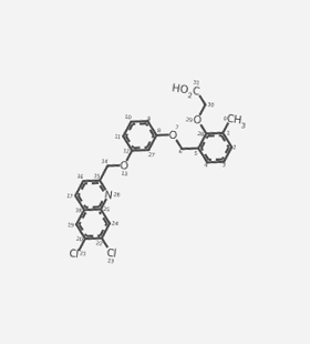 Cc1cccc(COc2cccc(OCc3ccc4cc(Cl)c(Cl)cc4n3)c2)c1OCC(=O)O